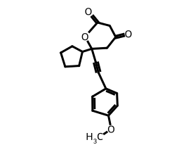 COc1ccc(C#CC2(C3CCCC3)CC(=O)CC(=O)O2)cc1